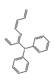 C=C/C=C\N=C(/C=C)P(c1ccccc1)c1ccccc1